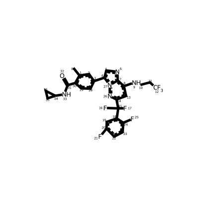 Cc1cc(-c2cnc3c(NCCC(F)(F)F)cc(C(F)(F)c4cc(F)ccc4F)nn23)ccc1C(=O)NC1CC1